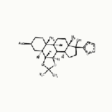 CC(=O)O[C@H]1CC[C@@]2(C)[C@H](C1)[C@H]1OC(C)(C)O[C@@H]1C1[C@@H]2CC[C@@]2(C)[C@H]1CC[C@@]2(O)c1ccco1